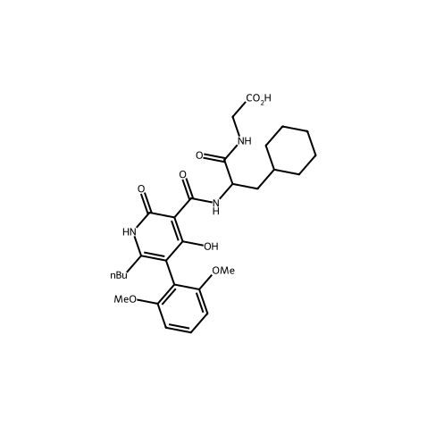 CCCCc1[nH]c(=O)c(C(=O)NC(CC2CCCCC2)C(=O)NCC(=O)O)c(O)c1-c1c(OC)cccc1OC